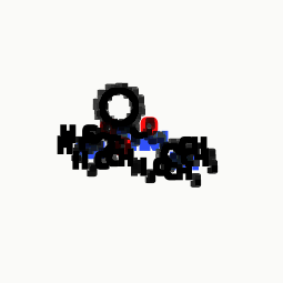 CC1(C)CC(=NNC(=O)CCN2C(=O)C3(CC(C)(C)NC(C)(C)C3)OC23CCCCCCCCCCC3)CC(C)(C)N1